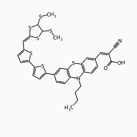 CCCCN1c2ccc(C=C(C#N)C(=O)O)cc2Sc2cc(-c3ccc(-c4ccc(C=C5SC(SC)C(SC)S5)s4)s3)ccc21